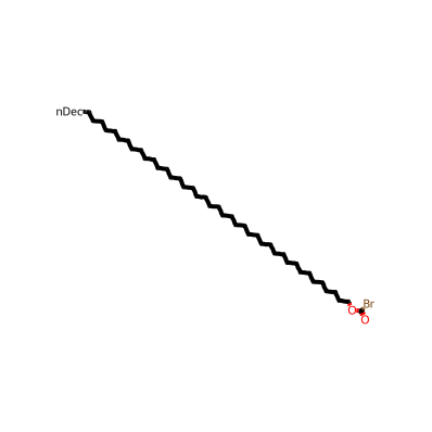 CCCCCCCCCCCCCCCCCCCCCCCCCCCCCCCCCCCCCCCCCCCCCCCCCCCOC(=O)Br